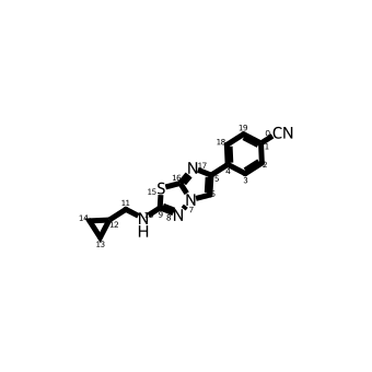 N#Cc1ccc(-c2cn3nc(NCC4CC4)sc3n2)cc1